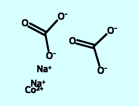 O=C([O-])[O-].O=C([O-])[O-].[Co+2].[Na+].[Na+]